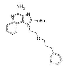 CCCCc1nc2c(N)nc3ccccc3c2n1CCOCCCc1ccccc1